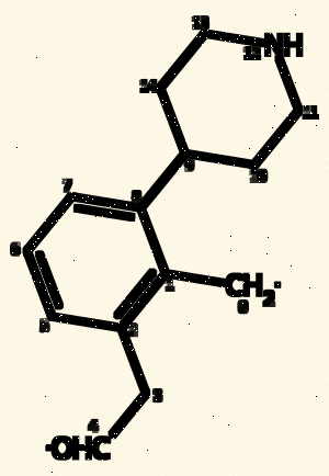 [CH2]c1c(C[C]=O)cccc1C1CCNCC1